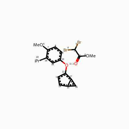 COC(=O)C(Br)Br.COc1ccc(Oc2ccc3cc2-3)cc1C(C)C